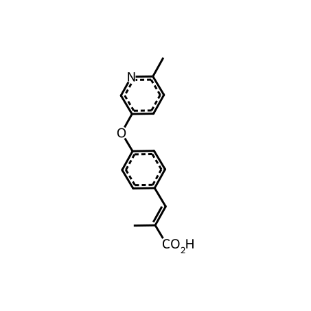 C/C(=C\c1ccc(Oc2ccc(C)nc2)cc1)C(=O)O